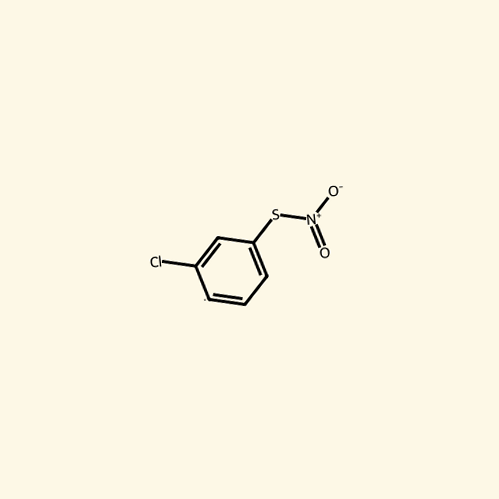 O=[N+]([O-])Sc1cc[c]c(Cl)c1